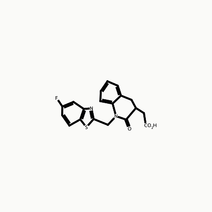 O=C(O)CC1Cc2ccccc2N(Cc2nc3cc(F)ccc3s2)C1=O